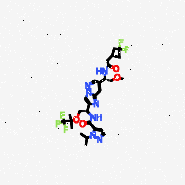 COC[C@@H](NC(=O)CC1CC(F)(F)C1)c1cnn2cc([C@H](COC(C)(C)C(F)(F)F)NC(=O)c3ccnn3C(C)C)nc2c1